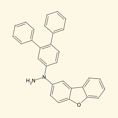 NN(c1ccc(-c2ccccc2)c(-c2ccccc2)c1)c1ccc2oc3ccccc3c2c1